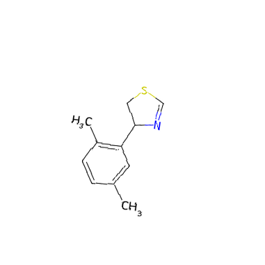 Cc1ccc(C)c(C2CSC=N2)c1